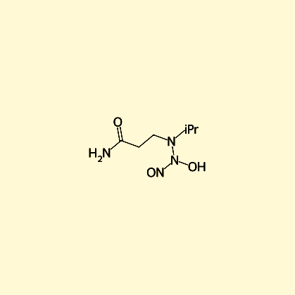 CC(C)N(CCC(N)=O)N(O)N=O